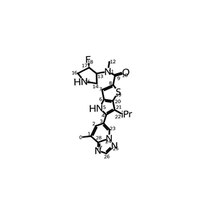 Cc1cc(-c2[nH]c3cc(C(=O)N(C)C4CNC[C@H]4F)sc3c2C(C)C)cn2ncnc12